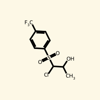 CC(O)C(Cl)S(=O)(=O)c1ccc(C(F)(F)F)cc1